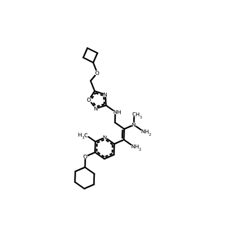 Cc1nc(/C(N)=C(\CNc2noc(COC3CCC3)n2)N(C)N)ccc1OC1CCCCC1